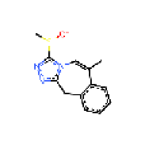 CC1=Cn2c(nnc2[S+](C)[O-])Cc2ccccc21